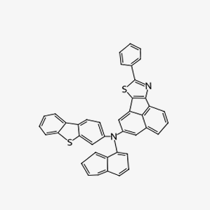 c1ccc(-c2nc3c(s2)-c2cc(N(c4ccc5c(c4)sc4ccccc45)c4cccc5ccccc45)cc4cccc-3c24)cc1